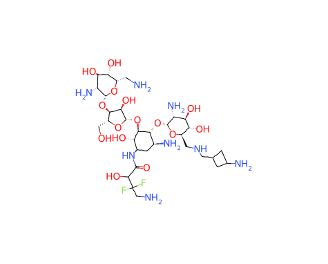 NC[C@@H]1O[C@H](O[C@H]2[C@@H](O)[C@H](O[C@@H]3[C@@H](O)[C@H](NC(=O)C(O)C(F)(F)CN)C[C@H](N)[C@H]3O[C@H]3O[C@H](CNCC4CC(N)C4)[C@@H](O)[C@H](O)[C@H]3N)O[C@@H]2CO)[C@H](N)[C@@H](O)[C@@H]1O